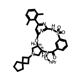 CCCON1C(=O)c2cccc(c2)S(=O)(=O)Nc2nc(cc(-c3c(C)cccc3C)n2)O[C@@H]2CN(C3CC4(CCCC4)C3)C[C@H]21